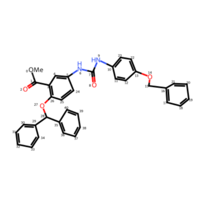 COC(=O)c1cc(NC(=O)Nc2ccc(OCc3ccccc3)cc2)ccc1OC(c1ccccc1)c1ccccc1